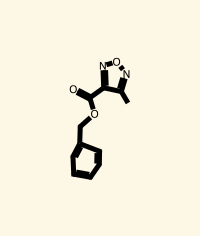 Cc1nonc1C(=O)OCc1ccccc1